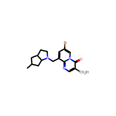 CCOC(=O)c1cnc2c(CN3CCC4CC(C)CC43)cc(Br)cn2c1=O